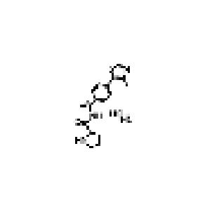 Cc1ncsc1-c1ccc([C@H](C)NC(=O)C2CCCN2)cc1.Cl.Cl.Cl